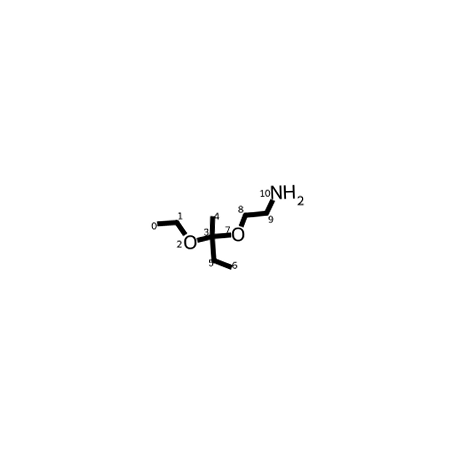 CCOC(C)(CC)OCCN